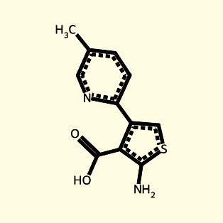 Cc1ccc(-c2csc(N)c2C(=O)O)nc1